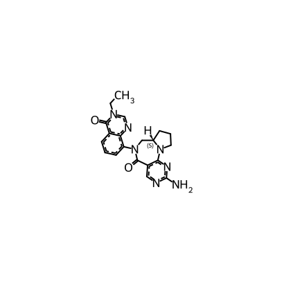 CCn1cnc2c(N3C[C@@H]4CCCN4c4nc(N)ncc4C3=O)cccc2c1=O